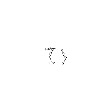 C1=CS[SH+]C=C1.[Nb+5]